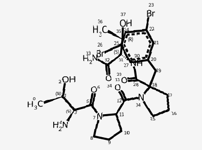 C[C@@H](O)[C@H](N)C(=O)N1CCCC1C(=O)N1CCCC1(Cc1cc(Br)cc(Br)c1)C(=O)N[C@H](C(N)=O)[C@@H](C)O